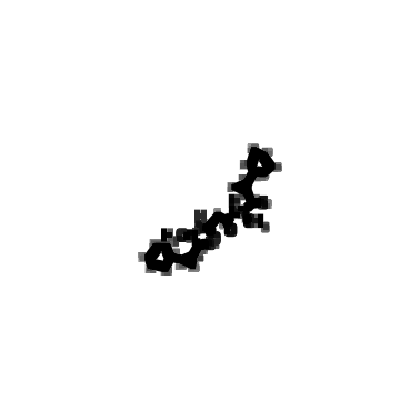 CN(NC(=O)CC(=O)NN(C)C(=S)C1CC1c1ccccc1)C(=S)C1CC1c1ccccc1